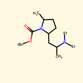 CCN(CC)C(C)CC1CCC(C)N1C(=O)OC(C)(C)C